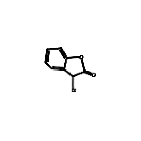 CCC1C(=O)Oc2ccccc21